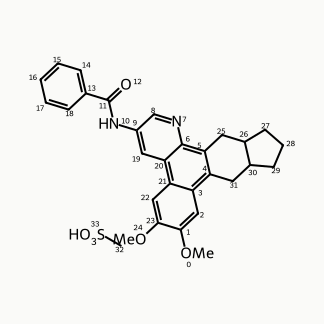 COc1cc2c3c(c4ncc(NC(=O)c5ccccc5)cc4c2cc1OC)CC1CCCC1C3.CS(=O)(=O)O